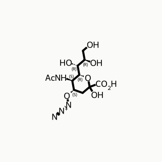 CC(=O)N[C@H]1[C@H]([C@H](O)[C@H](O)CO)OC(O)(C(=O)O)C[C@@H]1ON=[N+]=[N-]